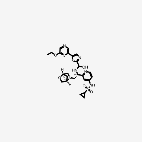 CCOc1cncc(-c2cnc(C(O)N[C@@H](CN3C[C@@H]4C[C@H]3CO4)c3cc(NS(=O)(=O)C4CC4)ccn3)s2)n1